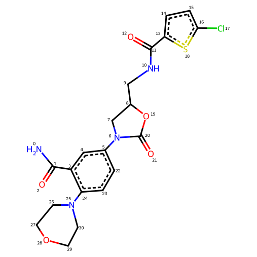 NC(=O)c1cc(N2CC(CNC(=O)c3ccc(Cl)s3)OC2=O)ccc1N1CCOCC1